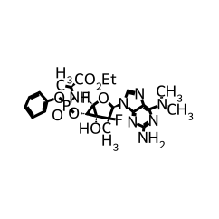 CCOC(=O)[C@H](C)N[P@@](=O)(Oc1ccccc1)O[C@H]1[C@]2(O)[C@@](C)(F)[C@H](n3cnc4c(N(C)C)nc(N)nc43)O[C@]12F